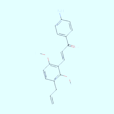 C=CCc1ccc(OCC)c(/C=C/C(=O)c2ccc(N)cc2)c1OCC